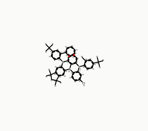 Cc1cc2c3c(c1)N(c1ccc(C(C)(C)C)cc1-c1ccccc1)c1cc4c(cc1B3c1ccc(Cl)cc1N2c1ccc(C(C)(C)C)cc1C)C(C)(C)CC4(C)C